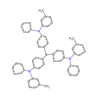 Cc1cccc(N(c2ccccc2)c2ccc(B(c3ccc(N(c4ccccc4)c4cccc(C)c4)cc3)c3ccc(N(c4ccccc4)c4cccc(C)c4)cc3)cc2)c1